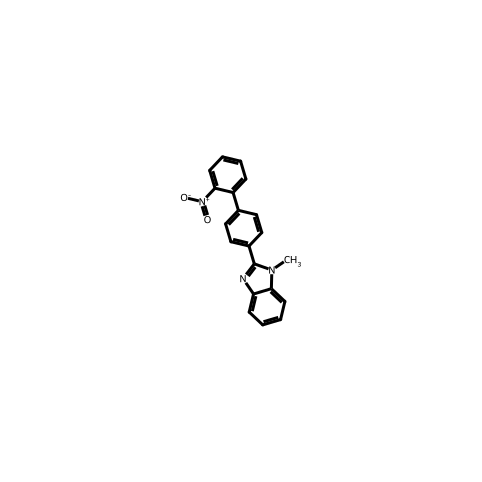 Cn1c(-c2ccc(-c3ccccc3[N+](=O)[O-])cc2)nc2ccccc21